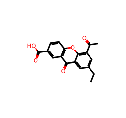 CCc1cc(C(C)=O)c2oc3ccc(C(=O)O)cc3c(=O)c2c1